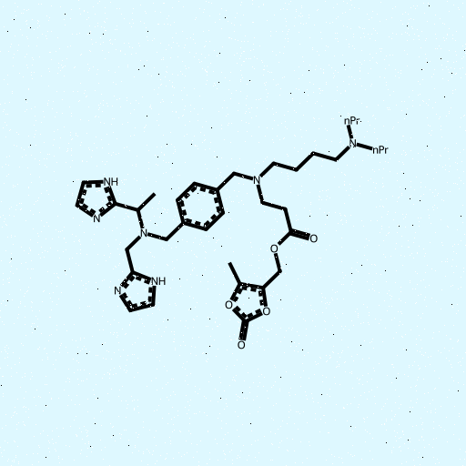 CCCN(CCC)CCCCN(CCC(=O)OCc1oc(=O)oc1C)Cc1ccc(CN(Cc2ncc[nH]2)C(C)c2ncc[nH]2)cc1